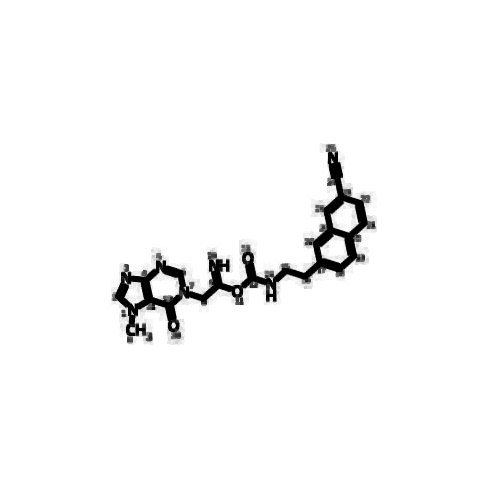 Cn1cnc2ncn(CC(=N)OC(=O)NCCc3ccc4ccc(C#N)cc4c3)c(=O)c21